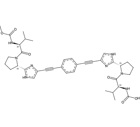 COC(=O)N[C@H](C(=O)N1CCC[C@H]1c1nc(C#Cc2ccc(C#Cc3c[nH]c([C@@H]4CCCN4C(=O)[C@@H](NC(=O)O)C(C)C)n3)cc2)c[nH]1)C(C)C